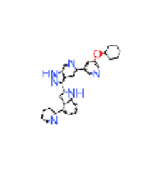 c1ccc(-c2cccc3[nH]c(-c4n[nH]c5cnc(-c6cncc(OC7CCCCC7)c6)cc45)cc23)nc1